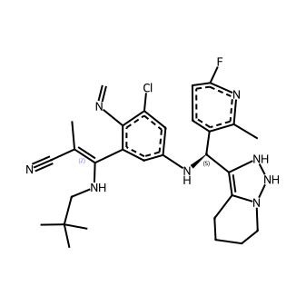 C=Nc1c(Cl)cc(N[C@H](C2=C3CCCCN3NN2)c2ccc(F)nc2C)cc1/C(NCC(C)(C)C)=C(\C)C#N